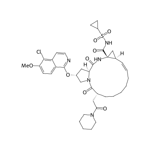 COc1ccc2c(O[C@@H]3C[C@H]4C(=O)N[C@]5(C(=O)NS(=O)(=O)C6CC6)C[C@H]5/C=C\CCCCC[C@H](CC(=O)N5CCCCC5)C(=O)N4C3)nccc2c1Cl